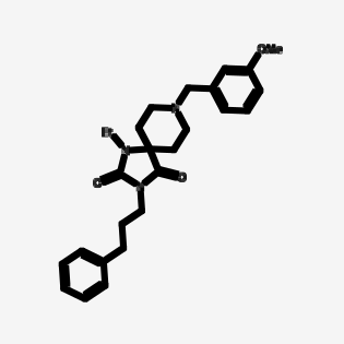 CCN1C(=O)N(CCCc2ccccc2)C(=O)C12CCN(Cc1cccc(OC)c1)CC2